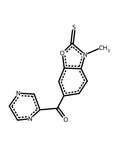 Cn1c(=S)oc2cc(C(=O)c3cnccn3)ccc21